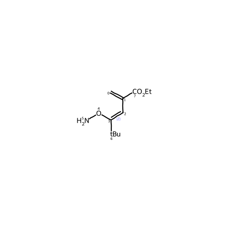 C=C(/C=C(\ON)C(C)(C)C)C(=O)OCC